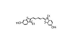 CCN1/C(=C/C=C/C=C/c2sc3cc(O)ccc3[n+]2CC)Sc2cc(O)ccc21